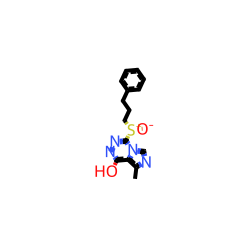 Cc1ncn2c([S+]([O-])CCCc3ccccc3)nnc(O)c12